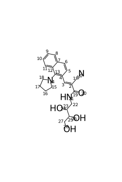 N#C/C(=C\c1ccc2ccccc2c1N1CCCC1)C(=O)NCC(O)C(O)CO